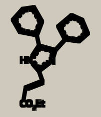 CCOC(=O)C=Cc1nc(-c2ccccc2)c(-c2ccccc2)[nH]1